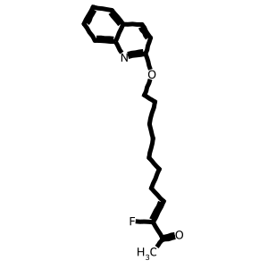 CC(=O)C(F)=CCCCCCCCOc1ccc2ccccc2n1